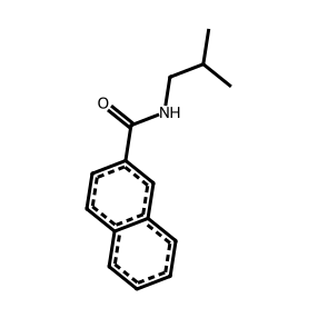 CC(C)CNC(=O)c1ccc2ccccc2c1